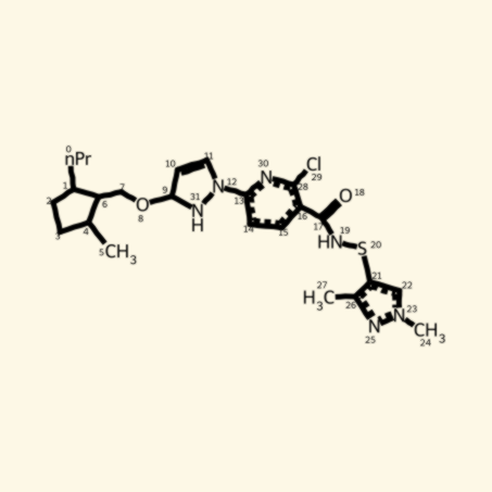 CCCC1CCC(C)C1COC1C=CN(c2ccc(C(=O)NSc3cn(C)nc3C)c(Cl)n2)N1